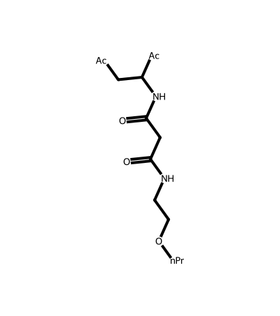 CCCOCCNC(=O)CC(=O)NC(CC(C)=O)C(C)=O